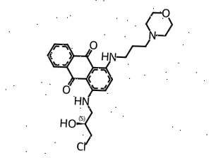 O=C1c2ccccc2C(=O)c2c(NC[C@H](O)CCl)ccc(NCCCN3CCOCC3)c21